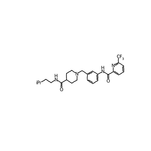 CC(C)CCNC(=O)C1CCN(Cc2cccc(NC(=O)c3cccc(C(F)(F)F)n3)c2)CC1